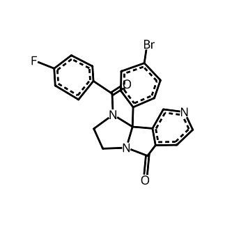 O=C(c1ccc(F)cc1)N1CCN2C(=O)c3ccncc3C12c1ccc(Br)cc1